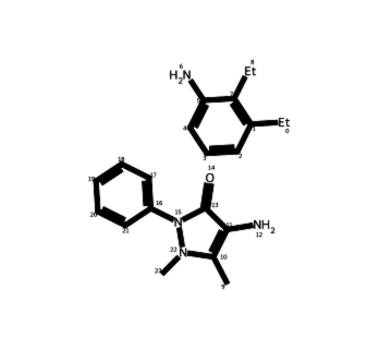 CCc1cccc(N)c1CC.Cc1c(N)c(=O)n(-c2ccccc2)n1C